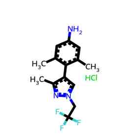 Cc1cc(N)cc(C)c1-c1cn(CC(F)(F)F)nc1C.Cl